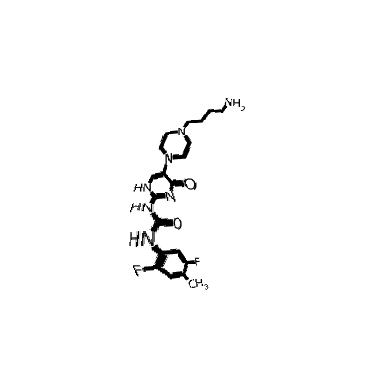 Cc1cc(F)c(NC(=O)Nc2nc(=O)c(N3CCN(CCCCN)CC3)c[nH]2)cc1F